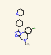 CN1Cc2cc(Cl)ccc2-n2c(nnc2[C@H]2CC[C@@H](C3CC=CC=N3)CC2)C1